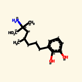 CC(CCCc1cccc(O)c1O)CC(C)(N)C(=O)O